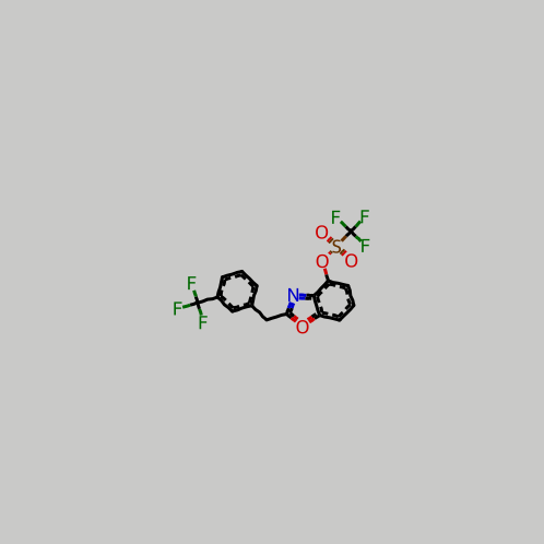 O=S(=O)(Oc1cccc2oc(Cc3cccc(C(F)(F)F)c3)nc12)C(F)(F)F